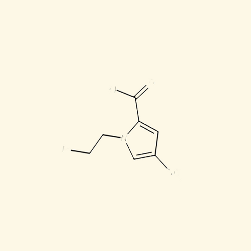 CC(C)CCn1cc([N+](=O)[O-])cc1C(=O)Cl